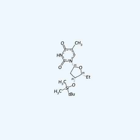 CC[C@H]1O[C@@H](n2cc(C)c(=O)[nH]c2=O)C[C@H]1O[Si](C)(C)C(C)(C)C